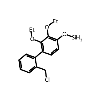 CCOc1c(O[SiH3])ccc(-c2ccccc2CCl)c1OCC